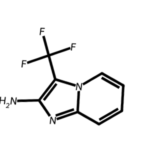 Nc1nc2ccccn2c1C(F)(F)F